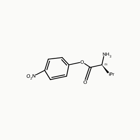 CC(C)[C@H](N)C(=O)Oc1ccc([N+](=O)[O-])cc1